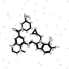 CN1CCOc2cc(C(=O)N3CCCC(N)C3)cc(/N=C/c3cc4ccc(F)c(Cl)c4n3CC3CC3)c21